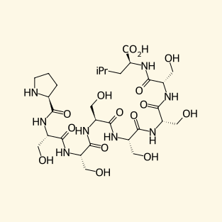 CC(C)C[C@H](NC(=O)[C@H](CO)NC(=O)[C@H](CO)NC(=O)[C@H](CO)NC(=O)[C@H](CO)NC(=O)[C@H](CO)NC(=O)[C@H](CO)NC(=O)[C@@H]1CCCN1)C(=O)O